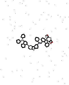 C1=CC(c2ccc(N(c3ccccc3)c3ccccc3)c3ccccc23)Cc2c1sc1ccc(/C(=C/c3cccc4c3-c3ccccc3C43c4ccccc4Sc4ccccc43)c3ccccc3)cc21